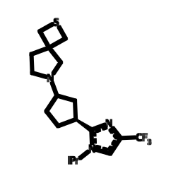 CC(C)n1cc(C(F)(F)F)nc1[C@H]1CCC(N2CCC3(CSC3)C2)C1